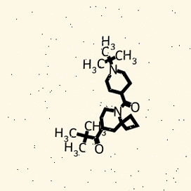 CC(C)(C)C(=O)C1CCN(C(=O)C2CCN(C(C)(C)C)CC2)C2(CCC2)C1